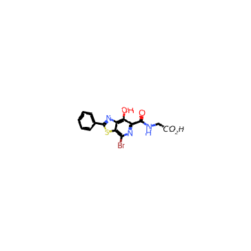 O=C(O)CNC(=O)c1nc(Br)c2sc(-c3ccccc3)nc2c1O